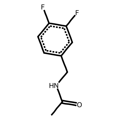 CC(=O)NCc1ccc(F)c(F)c1